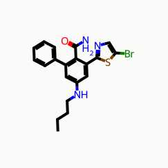 CCCCNc1cc(-c2ccccc2)c(C(N)=O)c(-c2ncc(Br)s2)c1